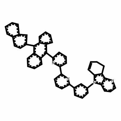 C1=Cc2c(c3ncccc3n2-c2cccc(-c3cccc(-c4cccc(-c5c6ccccc6c(-c6ccc7ccccc7c6)c6ccccc56)n4)n3)c2)CC1